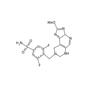 COC1=NC2N=CC3=C(CN(Cc4c(F)cc(S(N)(=O)=O)cc4F)CN3)C2=N1